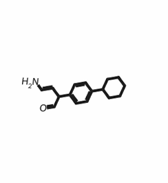 NC=CC(C=O)c1ccc(C2CCCCC2)cc1